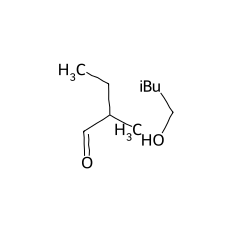 CCC(C)C=O.CCC(C)CO